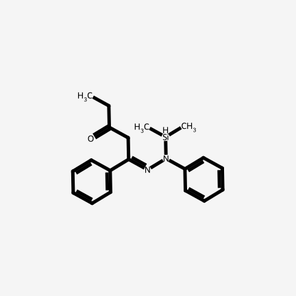 CCC(=O)CC(=NN(c1ccccc1)[SiH](C)C)c1ccccc1